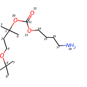 CC(C)(CCOC(C)(C)C(C)(C)C)OC(=O)OCCCCN